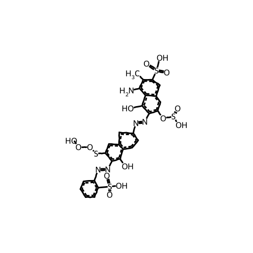 Cc1c(S(=O)(=O)O)cc2cc(OS(=O)O)c(N=Nc3ccc4c(O)c(N=Nc5ccccc5S(=O)(=O)O)c(SOOO)cc4c3)c(O)c2c1N